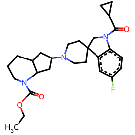 CCOC(=O)N1CCCC2CC(N3CCC4(CC3)CN(C(=O)C3CC3)c3ccc(F)cc34)CC21